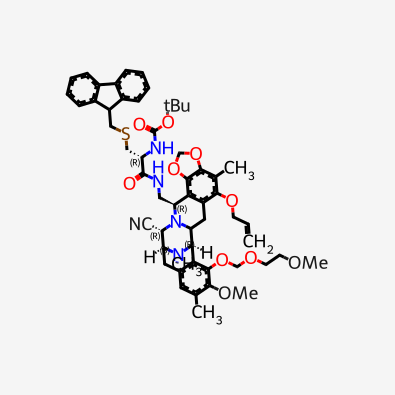 C=CCOc1c(C)c2c(c3c1CC1[C@H]4c5c(cc(C)c(OC)c5OCOCCOC)C[C@@H]([C@H](C#N)N1[C@H]3CNC(=O)[C@H](CSCC1c3ccccc3-c3ccccc31)NC(=O)OC(C)(C)C)N4C)OCO2